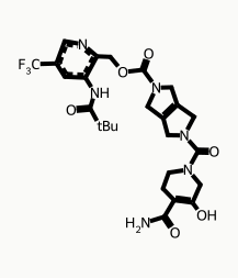 CC(C)(C)C(=O)Nc1cc(C(F)(F)F)cnc1COC(=O)N1CC2=C(C1)CN(C(=O)N1CCC(C(N)=O)=C(O)C1)C2